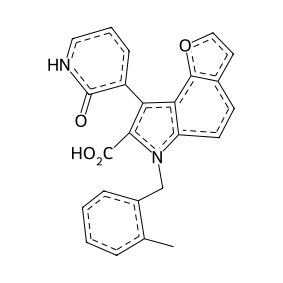 Cc1ccccc1Cn1c(C(=O)O)c(-c2ccc[nH]c2=O)c2c3occc3ccc21